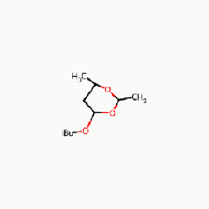 CCC(C)OC1CC(C)OC(C)O1